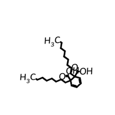 CCCCCCCCCC1(C(=O)O)C=CC=CC1(CCCCCCCC)C(=O)O